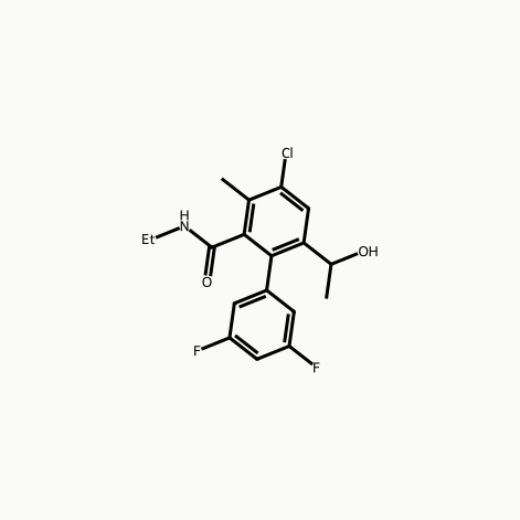 CCNC(=O)c1c(C)c(Cl)cc(C(C)O)c1-c1cc(F)cc(F)c1